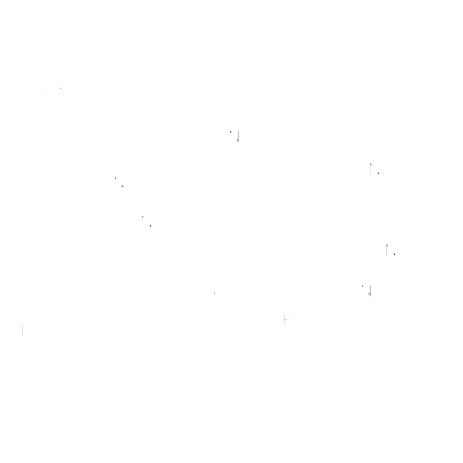 O=C(O)Cc1nn(-c2cc(Cl)ccc2OC(F)F)c2cc(-c3cnn4cccnc34)cnc12